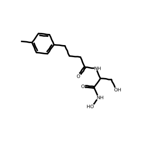 Cc1ccc(CCCC(=O)NC(CO)C(=O)NO)cc1